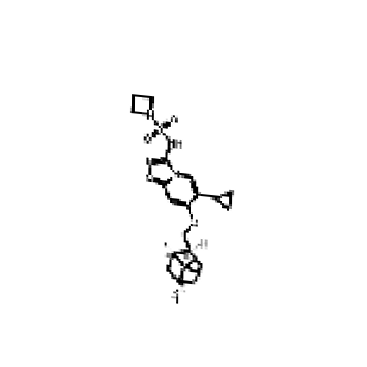 CC1(C)[C@H]2CC[C@H](COc3cc4nnc(NS(=O)(=O)N5CCC5)n4cc3C3CC3)[C@@H]1C2